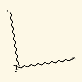 CC(C)CCCCCCCCCCCCCCC[N+](C)([O-])CCCCCCCCCCCCCCCC(C)C